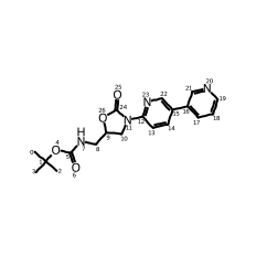 CC(C)(C)OC(=O)NCC1CN(c2ccc(-c3cccnc3)cn2)C(=O)O1